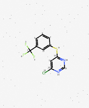 FC(F)(F)c1cccc(Sc2cc(Cl)ncn2)c1